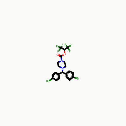 O=C(OC(C(F)(F)F)C(F)(F)F)N1CCN(C(c2ccc(Br)cc2)c2ccc(Br)cc2)CC1